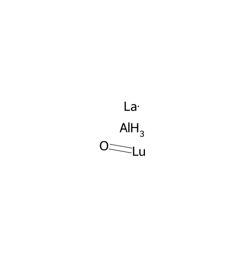 [AlH3].[La].[O]=[Lu]